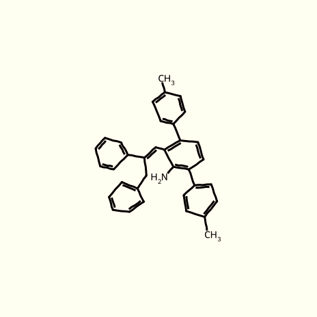 Cc1ccc(-c2ccc(-c3ccc(C)cc3)c(/C=C(\Cc3ccccc3)c3ccccc3)c2N)cc1